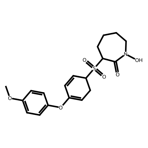 COc1ccc(OC2=CCC(S(=O)(=O)C3CCCCN(O)C3=O)C=C2)cc1